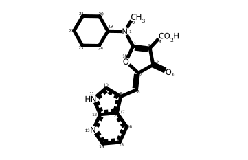 CN(C1=C(C(=O)O)C(=O)C(=Cc2c[nH]c3ncccc23)O1)C1CCCCC1